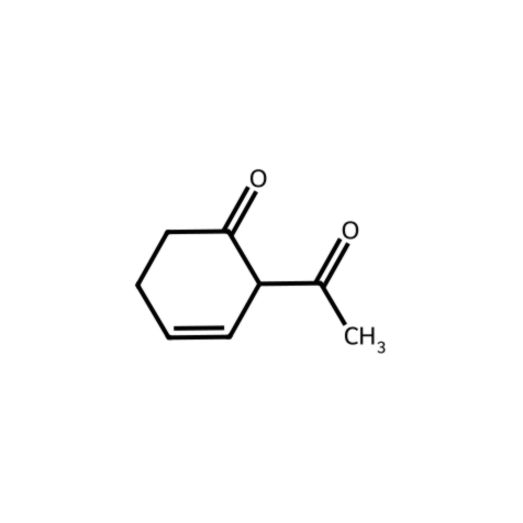 CC(=O)C1C=CCCC1=O